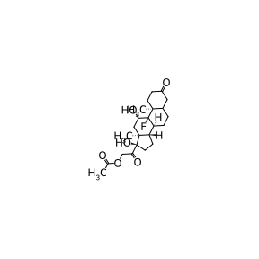 CC(=O)OCC(=O)[C@@]1(O)CC[C@H]2[C@@H]3CCC4CC(=O)CC[C@]4(C)[C@@]3(F)C(O)C[C@@]21C